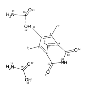 Cc1c(C)c2c(C)c(c1C)C(=O)NC2=O.NC(=O)O.NC(=O)O